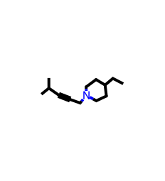 CCC1CCN(CC#CC(C)C)CC1